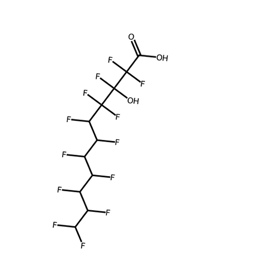 O=C(O)C(F)(F)C(O)(F)C(F)(F)C(F)C(F)C(F)C(F)C(F)C(F)C(F)F